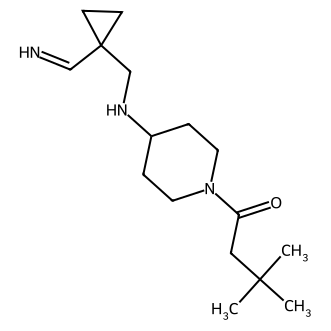 CC(C)(C)CC(=O)N1CCC(NCC2(C=N)CC2)CC1